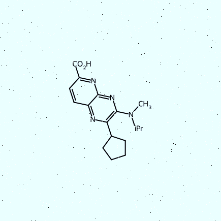 CC(C)N(C)c1nc2nc(C(=O)O)ccc2nc1C1CCCC1